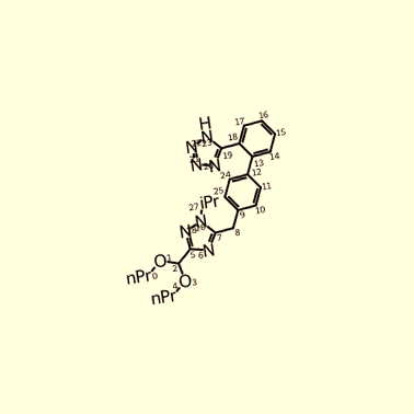 CCCOC(OCCC)c1nc(Cc2ccc(-c3ccccc3-c3nnn[nH]3)cc2)n(C(C)C)n1